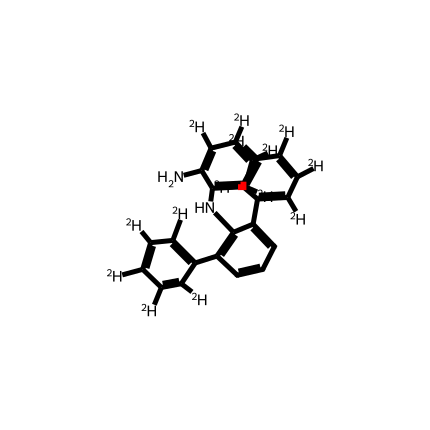 [2H]c1c([2H])c([2H])c(-c2cccc(-c3c([2H])c([2H])c([2H])c([2H])c3[2H])c2Nc2c([2H])c([2H])c([2H])c([2H])c2N)c([2H])c1[2H]